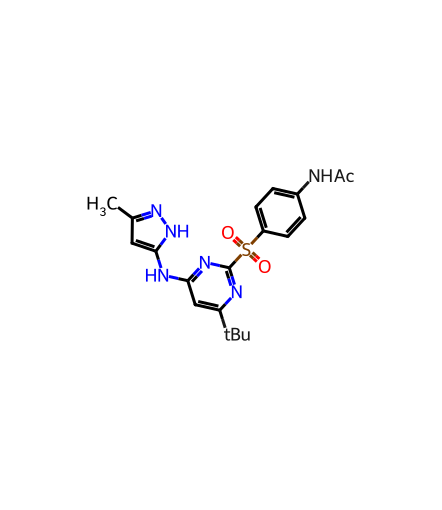 CC(=O)Nc1ccc(S(=O)(=O)c2nc(Nc3cc(C)n[nH]3)cc(C(C)(C)C)n2)cc1